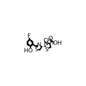 CN1C([C@@H]2CSC(c3cc(F)ccc3O)=N2)SC[C@@H]1C(=O)O